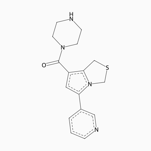 O=C(c1cc(-c2cccnc2)n2c1CSC2)N1CCNCC1